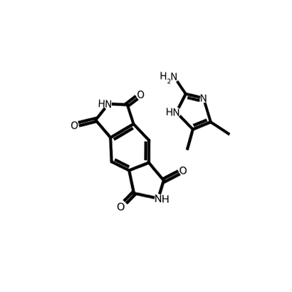 Cc1nc(N)[nH]c1C.O=c1[nH]c(=O)c2cc3c(=O)[nH]c(=O)c3cc12